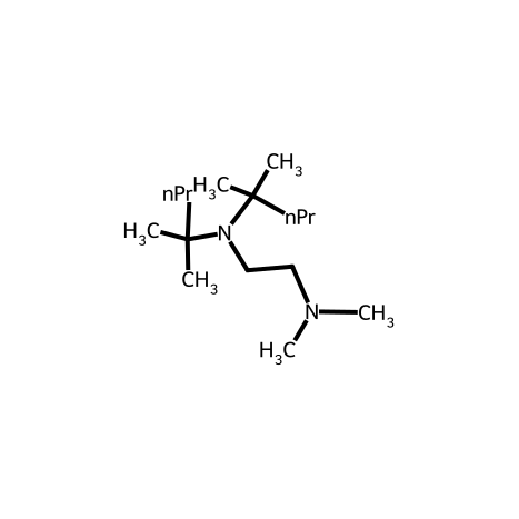 CCCC(C)(C)N(CCN(C)C)C(C)(C)CCC